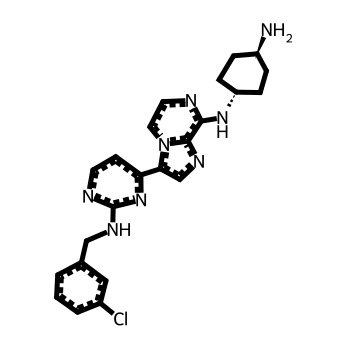 N[C@H]1CC[C@H](Nc2nccn3c(-c4ccnc(NCc5cccc(Cl)c5)n4)cnc23)CC1